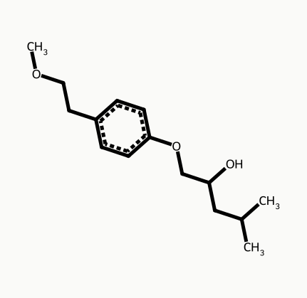 COCCc1ccc(OCC(O)CC(C)C)cc1